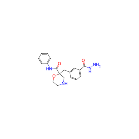 NNC(=O)c1cccc(CC2(C(=O)Nc3ccccc3)CNCCO2)c1